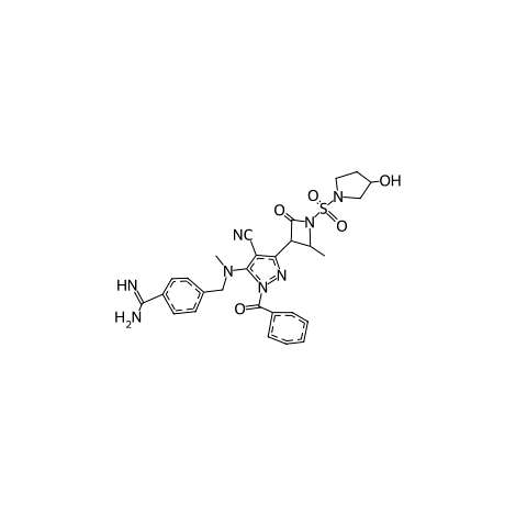 CC1C(c2nn(C(=O)c3ccccc3)c(N(C)Cc3ccc(C(=N)N)cc3)c2C#N)C(=O)N1S(=O)(=O)N1CCC(O)C1